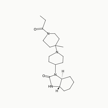 CCC(=O)N1CCC(C)(N2CCC(N3C(=O)N[C@H]4CCCC[C@@H]43)CC2)CC1